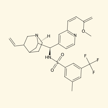 C=CC1CN2CCC1C[C@@H]2[C@H](NS(=O)(=O)c1cc(C)cc(C(F)(F)F)c1)c1ccnc(/C=C\C(=C)OC)c1